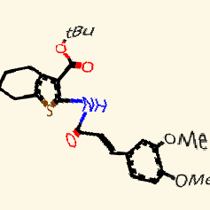 COc1ccc(C=CC(=O)Nc2sc3c(c2C(=O)OC(C)(C)C)CCCC3)cc1OC